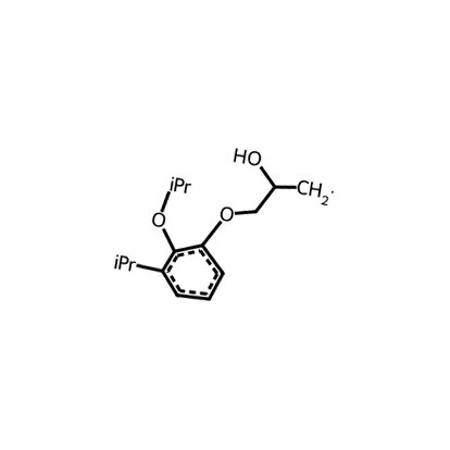 [CH2]C(O)COc1cccc(C(C)C)c1OC(C)C